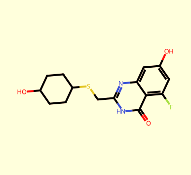 O=c1[nH]c(CSC2CCC(O)CC2)nc2cc(O)cc(F)c12